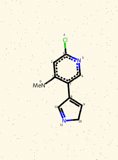 CNc1cc(Cl)ncc1C1=CCN=C1